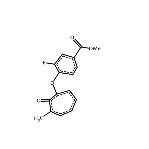 COC(=O)c1ccc(Oc2ccccc(C)c2=O)c(F)c1